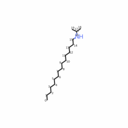 CCCCCCCCCCCCCCCCN[C](C)C